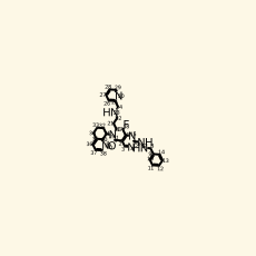 O=C(c1cnc(NNCc2ccccc2)nc1CF)N(CCCNCc1ccccn1)C1CCCc2cccnc21